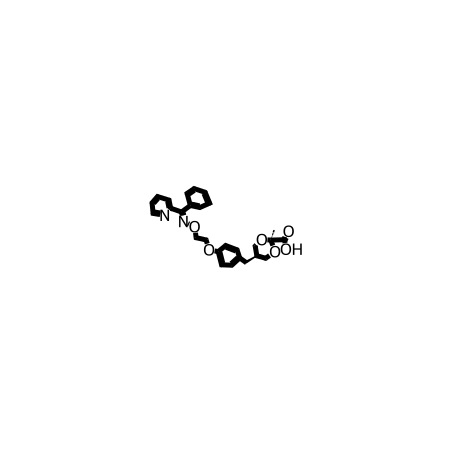 C[C@]1(C(=O)O)OC[C@@H](Cc2ccc(OCCO/N=C(\c3ccccc3)c3ccccn3)cc2)CO1